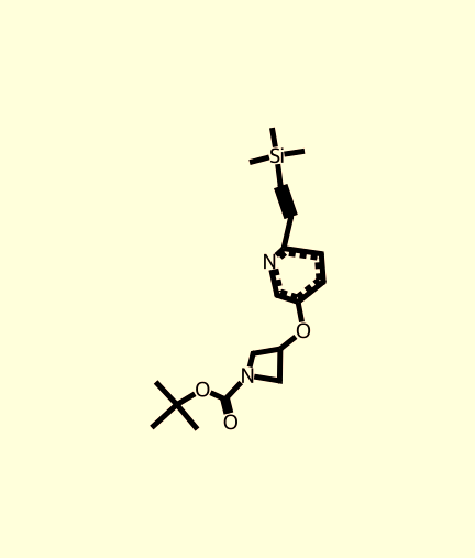 CC(C)(C)OC(=O)N1CC(Oc2ccc(C#C[Si](C)(C)C)nc2)C1